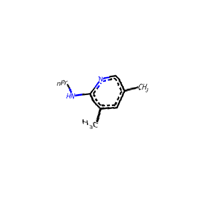 CCCNc1ncc(C)cc1C